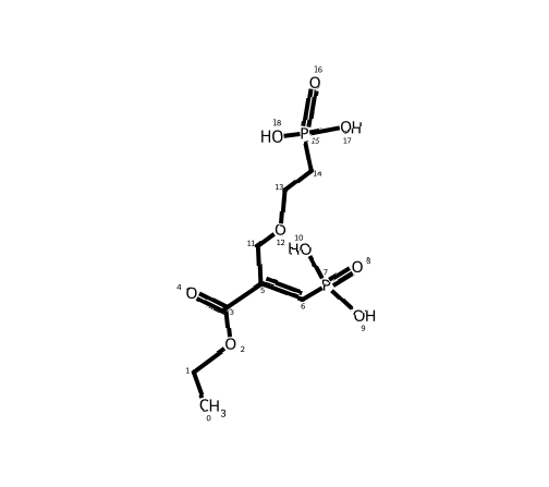 CCOC(=O)C(=CP(=O)(O)O)COCCP(=O)(O)O